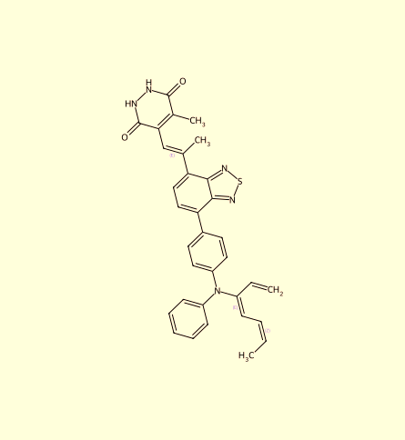 C=C/C(=C\C=C/C)N(c1ccccc1)c1ccc(-c2ccc(/C(C)=C/c3c(C)c(=O)[nH][nH]c3=O)c3nsnc23)cc1